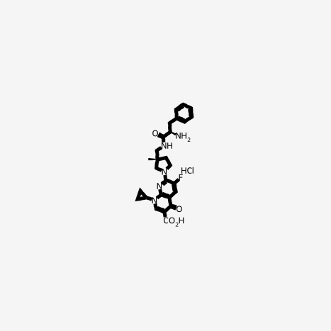 C[C@@]1(CNC(=O)[C@H](N)Cc2ccccc2)CCN(c2nc3c(cc2F)c(=O)c(C(=O)O)cn3C2CC2)C1.Cl